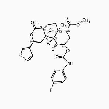 COC(=O)[C@@H]1C[C@H](OC(=O)Nc2ccc(F)cc2)C(=O)[C@H]2[C@@]1(C)CC[C@H]1C(=O)O[C@H](c3ccoc3)C[C@]21C